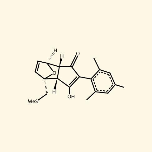 CSC[C@]12C=C[C@H](O1)[C@@H]1C(=O)C(c3c(C)cc(C)cc3C)=C(O)[C@@H]12